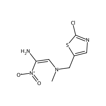 CN(C=C(N)[N+](=O)[O-])Cc1cnc(Cl)s1